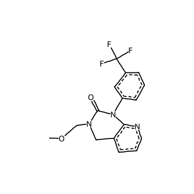 COCN1Cc2cccnc2N(c2cccc(C(F)(F)F)c2)C1=O